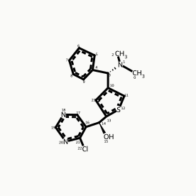 CN(C)[C@@H](c1ccccc1)c1csc([C@@H](O)c2cncnc2Cl)c1